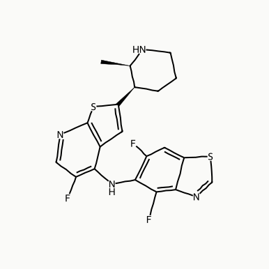 C[C@H]1NCCC[C@H]1c1cc2c(Nc3c(F)cc4scnc4c3F)c(F)cnc2s1